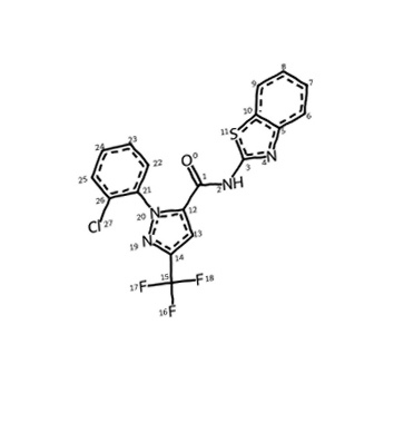 O=C(Nc1nc2ccccc2s1)c1cc(C(F)(F)F)nn1-c1ccccc1Cl